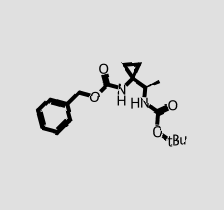 C[C@@H](NC(=O)OC(C)(C)C)C1(NC(=O)OCc2ccccc2)CC1